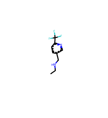 CCNCc1ccc(C(F)(F)F)nc1